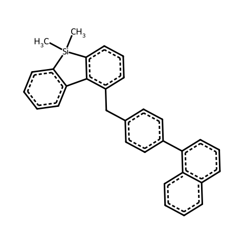 C[Si]1(C)c2ccccc2-c2c(Cc3ccc(-c4cccc5ccccc45)cc3)cccc21